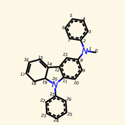 CN(c1ccccc1)c1ccc2c(c1)C1=CC=CCC1N2c1ccccc1